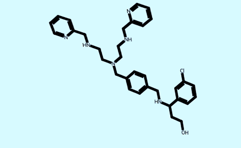 OCCC(NCc1ccc(CN(CCNCc2ccccn2)CCNCc2ccccn2)cc1)c1cccc(Cl)c1